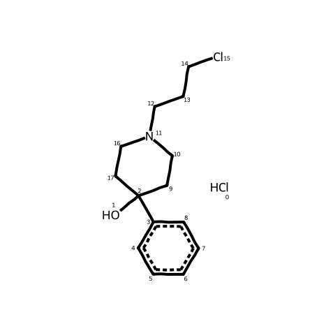 Cl.OC1(c2ccccc2)CCN(CCCCl)CC1